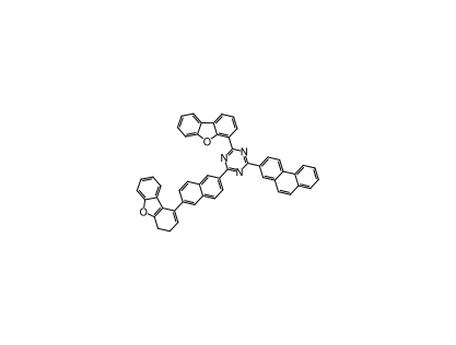 C1=C(c2ccc3cc(-c4nc(-c5ccc6c(ccc7ccccc76)c5)nc(-c5cccc6c5oc5ccccc56)n4)ccc3c2)c2c(oc3ccccc23)CC1